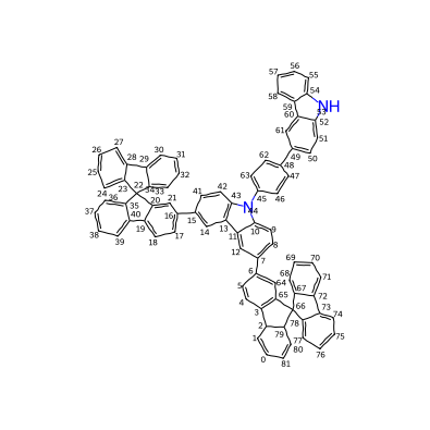 C1=CC2c3ccc(-c4ccc5c(c4)c4cc(-c6ccc7c(c6)C6(c8ccccc8-c8ccccc86)c6ccccc6-7)ccc4n5-c4ccc(-c5ccc6[nH]c7ccccc7c6c5)cc4)cc3C3(c4ccccc4-c4ccccc43)C2C=C1